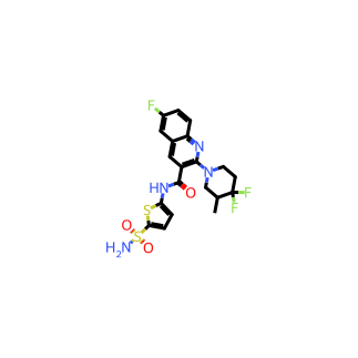 CC1CN(c2nc3ccc(F)cc3cc2C(=O)Nc2ccc(S(N)(=O)=O)s2)CCC1(F)F